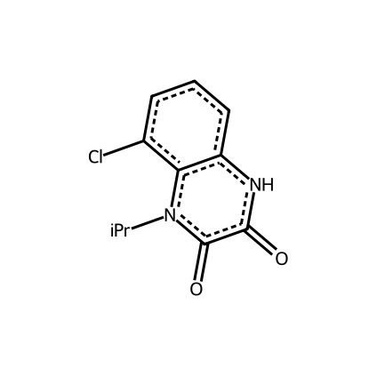 CC(C)n1c(=O)c(=O)[nH]c2cccc(Cl)c21